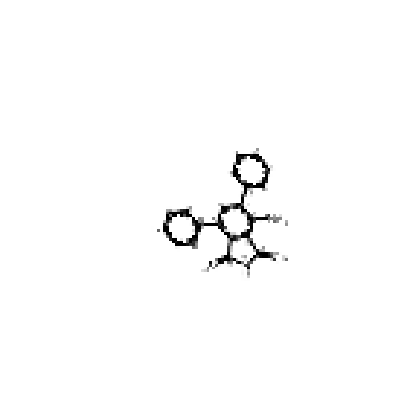 Nc1c(-c2ccccc2)cc(-c2ccccc2)c2c1C(=O)NC2=O